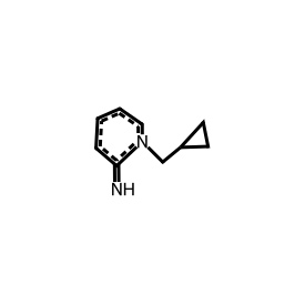 N=c1ccccn1CC1CC1